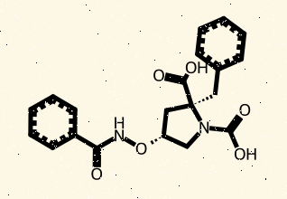 O=C(NO[C@H]1CN(C(=O)O)[C@](Cc2ccccc2)(C(=O)O)C1)c1ccccc1